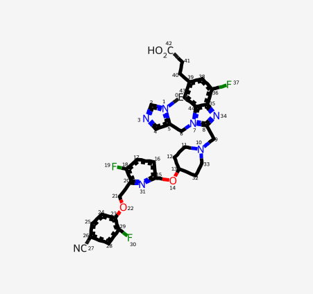 CCn1cncc1Cn1c(CN2CCC(Oc3ccc(F)c(COc4ccc(C#N)cc4F)n3)CC2)nc2c(F)cc(CCC(=O)O)cc21